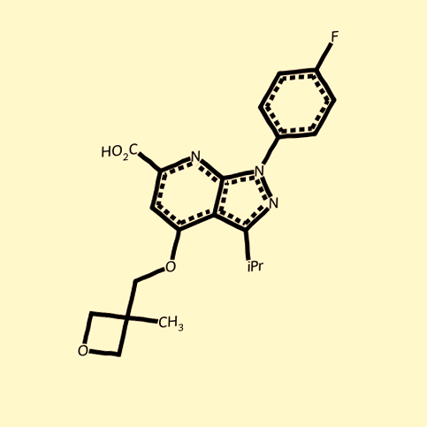 CC(C)c1nn(-c2ccc(F)cc2)c2nc(C(=O)O)cc(OCC3(C)COC3)c12